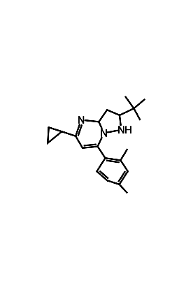 Cc1ccc(C2=CC(C3CC3)=NC3CC(C(C)(C)C)NN23)c(C)c1